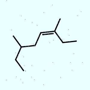 [CH2]CC(C)CC=C(C)CC